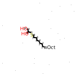 CCCCCCCCCCCCCCCCSCC(O)CO